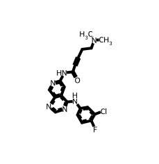 CN(C)CCC#CC(=O)Nc1cc2c(Nc3ccc(F)c(Cl)c3)ncnc2cn1